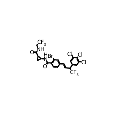 O=C(NC1CC1C(=O)NCC(F)(F)F)c1ccc(/C=C/C(c2cc(Cl)c(Cl)c(Cl)c2)C(F)(F)F)cc1Br